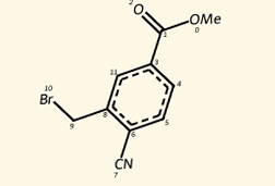 COC(=O)c1ccc(C#N)c(CBr)c1